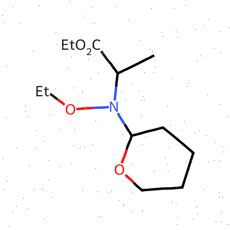 CCOC(=O)C(C)N(OCC)C1CCCCO1